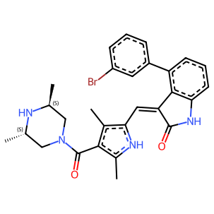 Cc1[nH]c(C=C2C(=O)Nc3cccc(-c4cccc(Br)c4)c32)c(C)c1C(=O)N1C[C@H](C)N[C@@H](C)C1